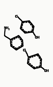 NCc1ccccc1.Oc1ccc(Cl)cc1.Oc1ccc(Cl)cc1